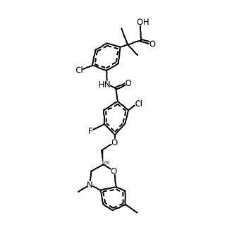 Cc1ccc2c(c1)O[C@H](COc1cc(Cl)c(C(=O)Nc3cc(C(C)(C)C(=O)O)ccc3Cl)cc1F)CN2C